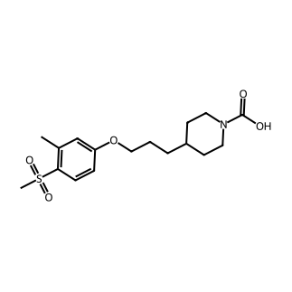 Cc1cc(OCCCC2CCN(C(=O)O)CC2)ccc1S(C)(=O)=O